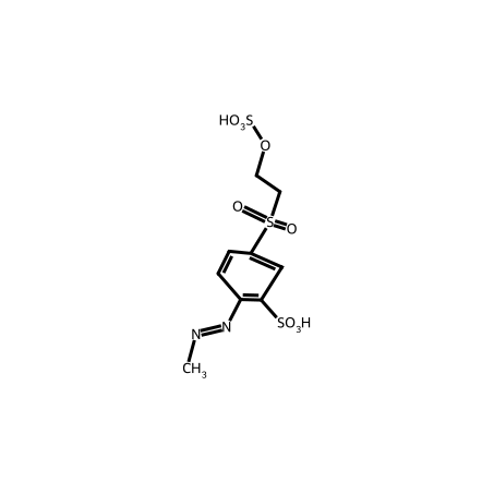 C/N=N/c1ccc(S(=O)(=O)CCOS(=O)(=O)O)cc1S(=O)(=O)O